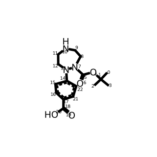 CC(C)(C)OC(=O)N1CCNCCN1c1ccc(C(=O)O)cc1